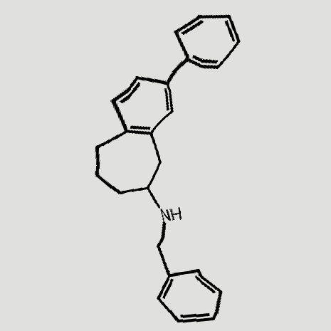 c1ccc(CNC2CCCc3ccc(-c4ccccc4)cc3C2)cc1